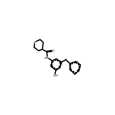 O=C(Nc1cc(O)cc(Cc2ccccc2)c1)C1CCOCC1